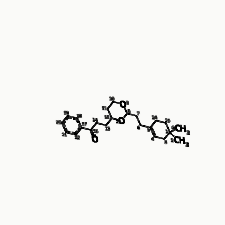 CC1(C)CC=C(CCC2OCCC(CCC(=O)c3ccccc3)O2)CC1